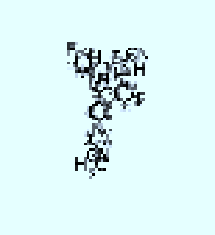 CN=S1(=O)CCN(c2ccc(-c3cn(-c4ccc(F)cn4)nc3[C@@H]3CC[C@H](F)C[C@H]3C(=O)N[C@@H](C)C#N)cc2)CC1